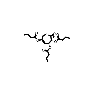 CCCC(=O)OC1=C[C@@H](OC(=O)CCC)[C@@H](OC(=O)CCC)C(O)OC1